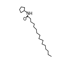 CCCCCCCCCCCCCCCC(=O)NC1CCCC1